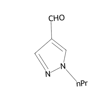 CCCn1cc(C=O)cn1